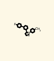 Cc1ccc(-n2nccc2-c2cccc(-c3ccc(F)cc3)c2)cc1